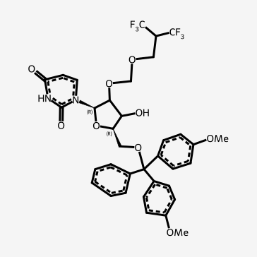 COc1ccc(C(OC[C@H]2O[C@@H](n3ccc(=O)[nH]c3=O)C(OCOCC(C(F)(F)F)C(F)(F)F)C2O)(c2ccccc2)c2ccc(OC)cc2)cc1